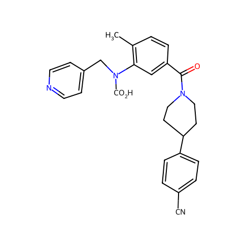 Cc1ccc(C(=O)N2CCC(c3ccc(C#N)cc3)CC2)cc1N(Cc1ccncc1)C(=O)O